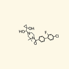 CC1(C)CN(C(O)C2(O)CC2)CCN1C(=O)c1ccc(-c2ccc(Cl)cc2F)cc1